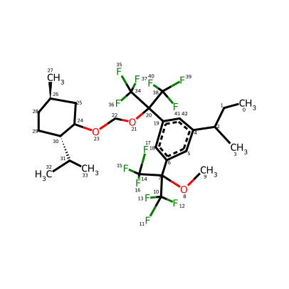 CCC(C)c1cc(C(OC)(C(F)(F)F)C(F)(F)F)cc(C(OCOC2C[C@H](C)CC[C@H]2C(C)C)(C(F)(F)F)C(F)(F)F)c1